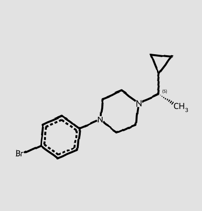 C[C@@H](C1CC1)N1CCN(c2ccc(Br)cc2)CC1